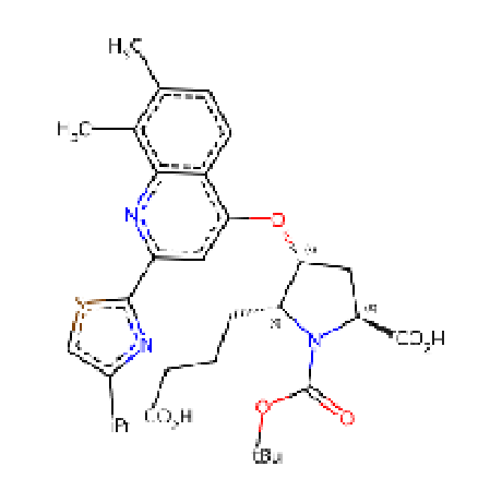 Cc1ccc2c(O[C@@H]3C[C@@H](C(=O)O)N(C(=O)OC(C)(C)C)[C@@H]3CCCC(=O)O)cc(-c3nc(C(C)C)cs3)nc2c1C